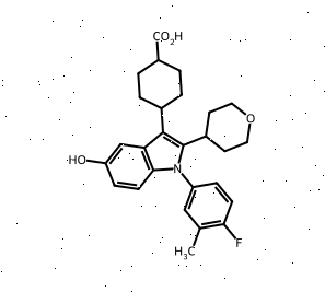 Cc1cc(-n2c(C3CCOCC3)c(C3CCC(C(=O)O)CC3)c3cc(O)ccc32)ccc1F